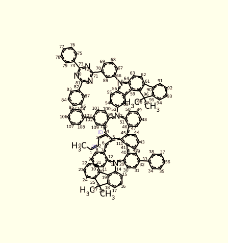 C/C=C\C=c1/c2cc3ccccc3n(-c3cccc4c3-c3ccccc3C4(C)C)c3ccc(-c4ccccc4)cc3c3cccc(c4ccccc4n(-c4ccc5c(c4)c4c6c(ccc4n5-c4cccc(-c5nc(-c7ccccc7)nc(-c7ccccc7)n5)c4)-c4ccccc4C6(C)C)c4ccc(-c5ccccc5)cc14)c23